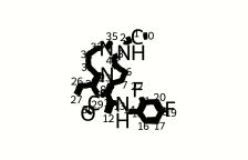 C=C=CNC1C2CC/C(=C(/C)C(=C)NCc3ccc(F)cc3F)N2/C(=C(/C=C)C=C=O)CCCN1C